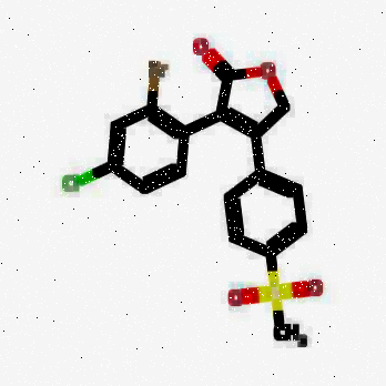 CS(=O)(=O)c1ccc(C2=C(c3ccc(Cl)cc3Br)C(=O)OC2)cc1